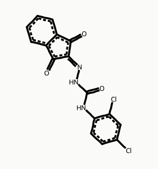 O=C(NN=c1c(=O)c2ccccc2c1=O)Nc1ccc(Cl)cc1Cl